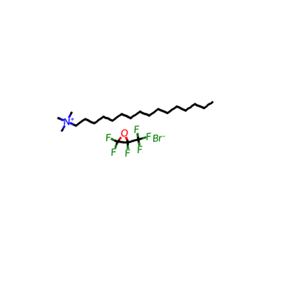 CCCCCCCCCCCCCCCC[N+](C)(C)C.FC(F)(F)C1(F)OC1(F)F.[Br-]